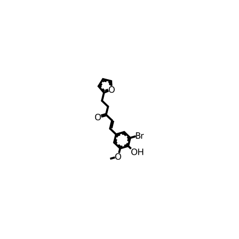 COc1cc(C=CC(=O)CCc2ccco2)cc(Br)c1O